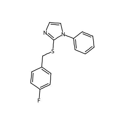 Fc1ccc(CSc2nccn2-c2ccccc2)cc1